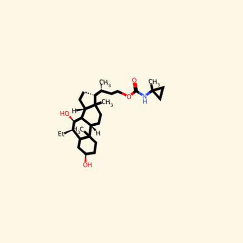 CC[C@@H]1C2C[C@H](O)CCC2(C)[C@H]2CCC3(C)[C@@H]([C@H](C)CCOC(=O)NC4(C)CC4)CC[C@H]3C2[C@@H]1O